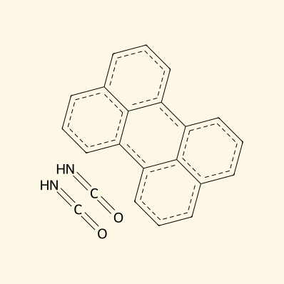 N=C=O.N=C=O.c1cc2cccc3c4cccc5cccc(c(c1)c23)c54